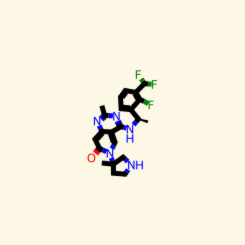 Cc1nc(N[C@H](C)c2cccc(C(F)F)c2F)c2cn(C3(C)CCNC3)c(=O)cc2n1